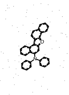 c1ccc(N(c2ccccc2)c2cc3oc4c5ccccc5ccc4c3c3ccccc23)cc1